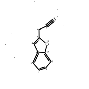 N#C[CH]c1cc2ccccc2o1